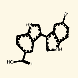 O=C(O)c1ccc2[nH]cc(-c3c[nH]c4ccc(Br)cc34)c2c1